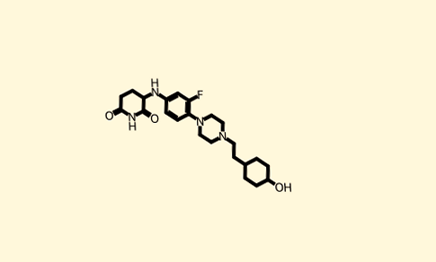 O=C1CCC(Nc2ccc(N3CCN(CCC4CCC(O)CC4)CC3)c(F)c2)C(=O)N1